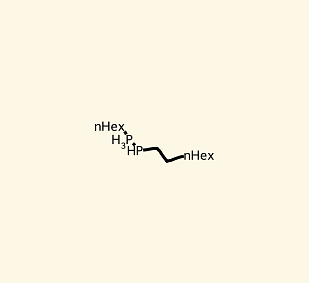 CCCCCCCCP[PH3]CCCCCC